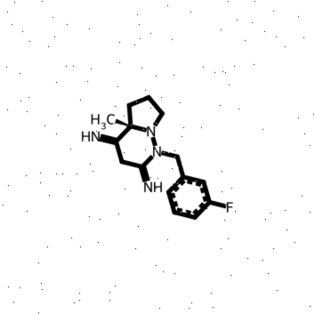 C[C@@]12CCCN1N(Cc1cccc(F)c1)C(=N)CC2=N